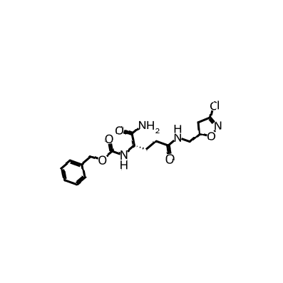 NC(=O)[C@H](CCC(=O)NCC1CC(Cl)=NO1)NC(=O)OCc1ccccc1